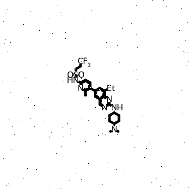 CCc1cc(-c2ccc(NS(=O)(=O)CCC(F)(F)F)nc2C)cc2cnc(N[C@H]3CC[C@H](N(C)C)CC3)nc12